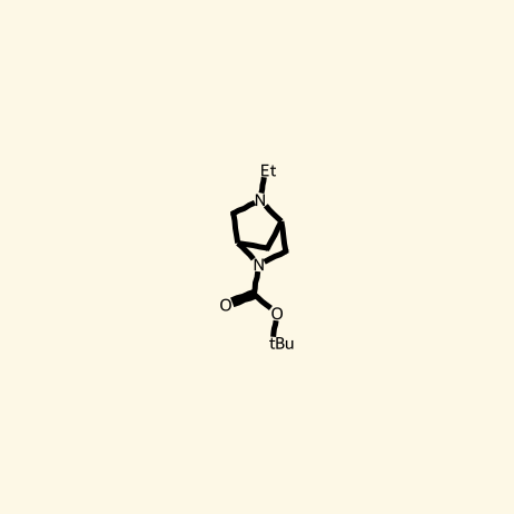 CCN1CC2CC1CN2C(=O)OC(C)(C)C